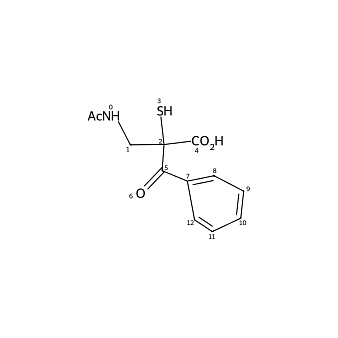 CC(=O)NCC(S)(C(=O)O)C(=O)c1ccccc1